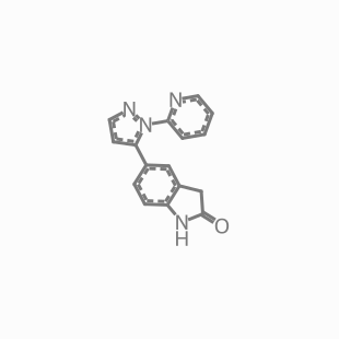 O=C1Cc2cc(-c3ccnn3-c3ccccn3)ccc2N1